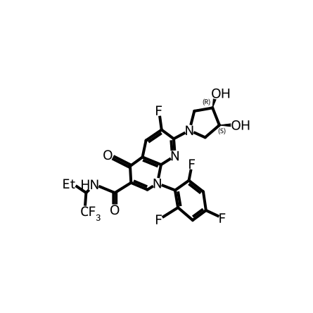 CCC(NC(=O)c1cn(-c2c(F)cc(F)cc2F)c2nc(N3C[C@@H](O)[C@@H](O)C3)c(F)cc2c1=O)C(F)(F)F